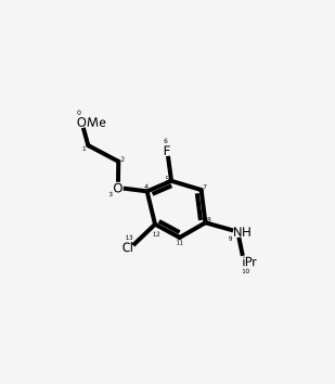 COCCOc1c(F)cc(NC(C)C)cc1Cl